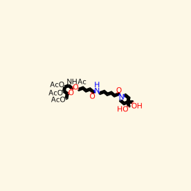 CC(=O)NC1C(OCCCCC(=O)NCCCCCC(=O)N2CCC(CO)(CO)CC2)OC(COC(C)=O)C(OC(C)=O)C1OC(C)=O